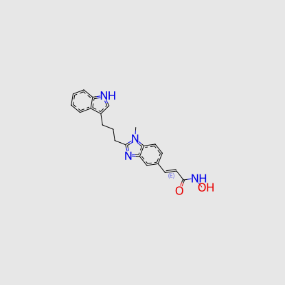 Cn1c(CCCc2c[nH]c3ccccc23)nc2cc(/C=C/C(=O)NO)ccc21